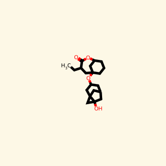 CCC1CC2(OC3CC4CC5(O)CC5(C4)C3)CCCC(C2)OC1=O